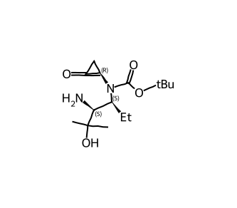 CC[C@@H]([C@H](N)C(C)(C)O)N(C(=O)OC(C)(C)C)[C@@H]1CC1=O